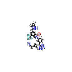 Cn1cnnc1C(c1cccc(N2Cc3c(cc(CNC4(C)CCC4)cc3C(F)(F)F)C2=O)c1)[C@H]1C[C@H](CC#N)C1